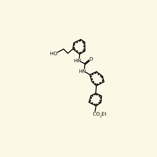 CCOC(=O)c1ccc(-c2cccc(NC(=O)Nc3ccccc3CCO)c2)cc1